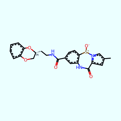 Cc1cc2n(c1)[S+]([O-])c1ccc(C(=O)NCC[C@@H]3COc4ccccc4O3)cc1NC2=O